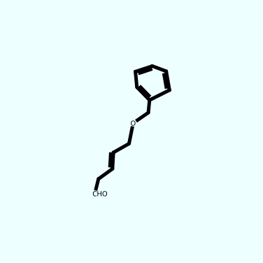 O=CCC=CCOCc1ccccc1